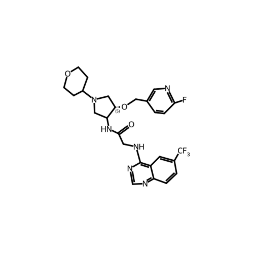 O=C(CNc1ncnc2ccc(C(F)(F)F)cc12)NC1CN(C2CCOCC2)C[C@@H]1OCc1ccc(F)nc1